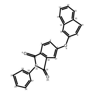 O=C1c2ccc(Oc3ccc4ccccc4c3)cc2C(=O)N1c1ccccc1